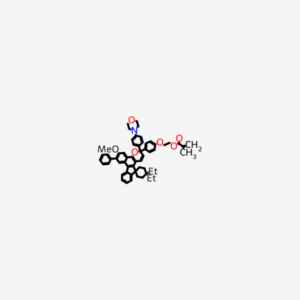 C=C(C)C(=O)OCCOc1ccc(C2(c3ccc(N4CCOCC4)cc3)C=Cc3c4c(c5cc(-c6ccccc6)c(OC)cc5c3O2)-c2ccccc2C42CCC(CC)(CC)CC2)cc1